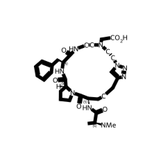 CN[C@@H](C)C(=O)N[C@H]1CCCc2cn(nn2)CCN(CC(=O)O)CCNC(=O)[C@H](Cc2ccccc2)NC(=O)[C@@H]2CCCN2C1=O